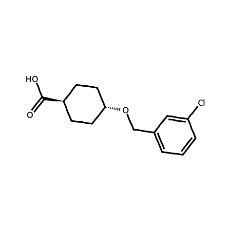 O=C(O)[C@H]1CC[C@H](OCc2cccc(Cl)c2)CC1